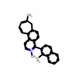 CC1=CC=Cc2c(ccc3c(-c4ccc5ccccc5c4C)[n+](C)ccc23)C1